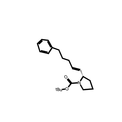 CC(C)(C)OC(=O)N1CCC[C@H]1/C=C/CCCc1ccccc1